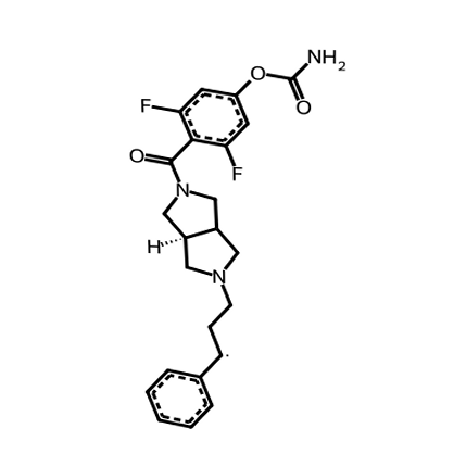 NC(=O)Oc1cc(F)c(C(=O)N2CC3CN(CC[CH]c4ccccc4)C[C@H]3C2)c(F)c1